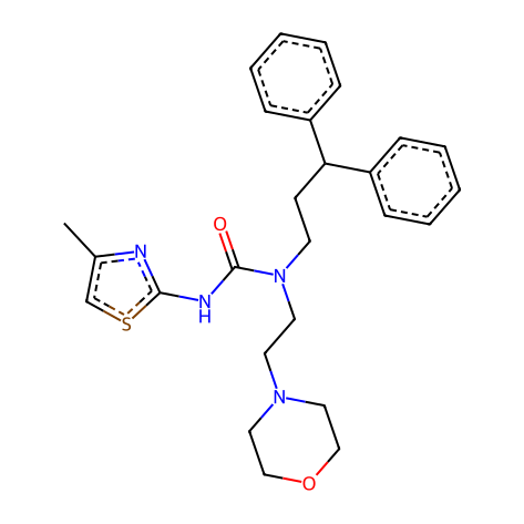 Cc1csc(NC(=O)N(CCC(c2ccccc2)c2ccccc2)CCN2CCOCC2)n1